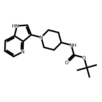 CC(C)(C)OC(=O)NC1CCN(c2c[nH]c3cccnc23)CC1